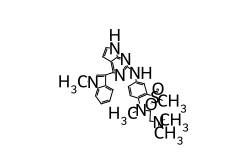 CN(C)CCN(C)c1ccc(Nc2nc(-c3cn(C)c4ccccc34)c3cc[nH]c3n2)cc1S(C)(=O)=O